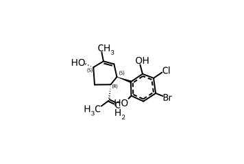 C=C(C)[C@@H]1C[C@H](O)C(C)=C[C@H]1c1c(O)cc(Br)c(Cl)c1O